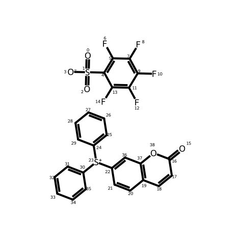 O=S(=O)([O-])c1c(F)c(F)c(F)c(F)c1F.O=c1ccc2ccc([S+](c3ccccc3)c3ccccc3)cc2o1